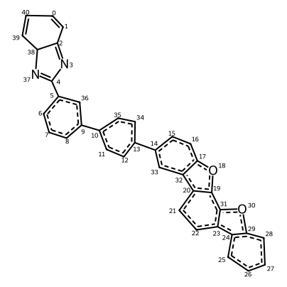 C1=CC2=NC(c3cccc(-c4ccc(-c5ccc6oc7c(ccc8c9ccccc9oc87)c6c5)cc4)c3)=NC2C=C1